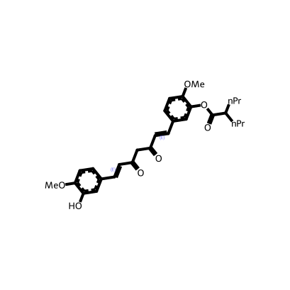 CCCC(CCC)C(=O)Oc1cc(/C=C/C(=O)CC(=O)/C=C/c2ccc(OC)c(O)c2)ccc1OC